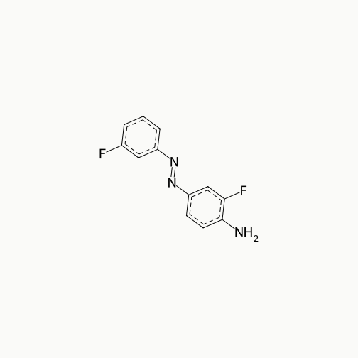 Nc1ccc(N=Nc2cccc(F)c2)cc1F